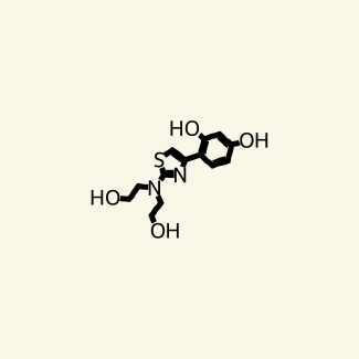 OCCN(CCO)c1nc(-c2ccc(O)cc2O)cs1